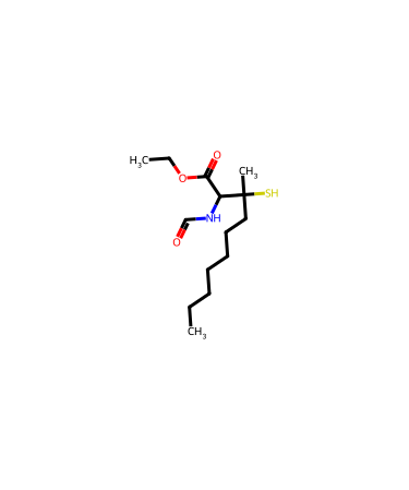 CCCCCCCC(C)(S)C(NC=O)C(=O)OCC